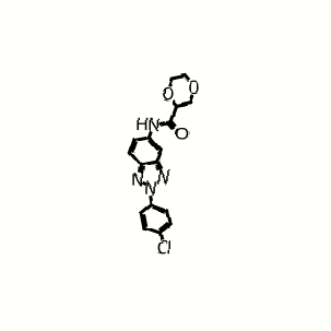 O=C(Nc1ccc2nn(-c3ccc(Cl)cc3)nc2c1)C1COCCO1